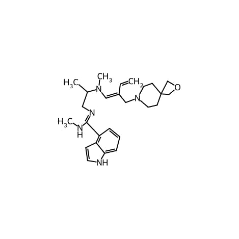 C=C/C(=C\N(C)C(C)C/N=C(\NC)c1cccc2[nH]ccc12)CN1CCC2(CC1)COC2